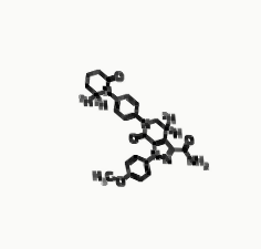 [2H]C1([2H])CN(c2ccc(N3C(=O)CCCC3([2H])[2H])cc2)C(=O)c2c1c(C(N)=O)nn2-c1ccc(OC)cc1